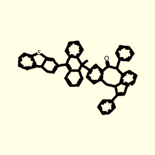 CC1(c2ccc3c(c2)C(=O)C(c2ccccc2)c2cccc4c2C(C3)C(c2ccccc2)=C4)c2ccccc2C(C2=CCC3C(=C2)Sc2ccccc23)=C2C=CC=CC21